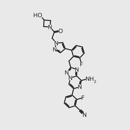 N#Cc1cccc(-c2cn3nc(Cc4c(F)cccc4-c4cnn(CC(=O)N5CC(O)C5)c4)nc3c(N)n2)c1F